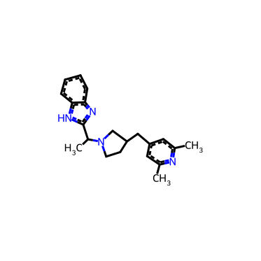 Cc1cc(CC2CCN(C(C)c3nc4ccccc4[nH]3)C2)cc(C)n1